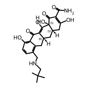 CC(C)(C)CNCc1ccc(O)c2c1C[C@H]1C[C@H]3CC(O)=C(C(N)=O)C(=O)[C@@]3(O)C(O)=C1C2=O